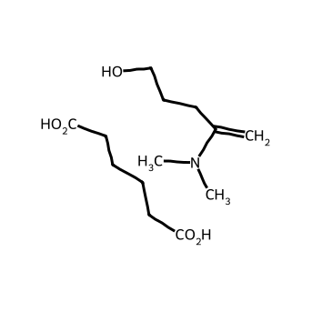 C=C(CCCO)N(C)C.O=C(O)CCCCC(=O)O